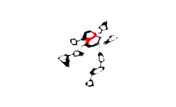 c1ccc(-c2ccc(-c3ccc(N(c4ccccc4)c4cc(N(c5ccc6oc7ccccc7c6c5)c5ccccc5-c5ccccc5)cc5nc(-c6ccccc6)oc45)cc3)cc2)cc1